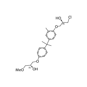 COC[C@H](O)COc1ccc(C(C)(C)c2ccc(OC[C@@H](O)CCl)c(C)c2)cc1